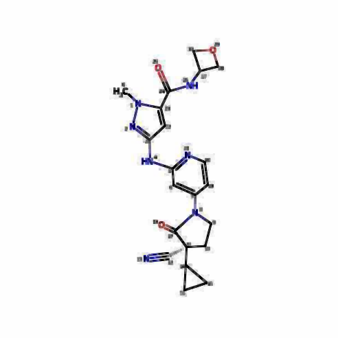 Cn1nc(Nc2cc(N3CC[C@@](C#N)(C4CC4)C3=O)ccn2)cc1C(=O)NC1COC1